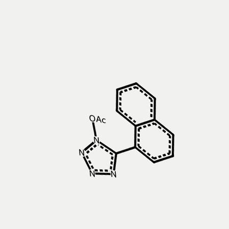 CC(=O)On1nnnc1-c1cccc2ccccc12